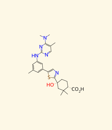 Cc1cc(Nc2ncc(C)c(N(C)C)n2)cc(-c2cnc([C@@]3(O)CC[C@H](C(=O)O)C(C)(C)C3)s2)c1